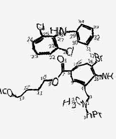 CCCN(C)Cc1cc(C(=O)OCCCCOC(C)=O)cc(Br)c1N.Clc1cccc(Cl)c1Nc1ccccc1